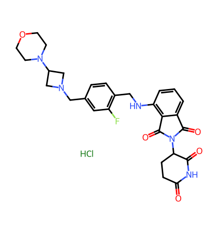 Cl.O=C1CCC(N2C(=O)c3cccc(NCc4ccc(CN5CC(N6CCOCC6)C5)cc4F)c3C2=O)C(=O)N1